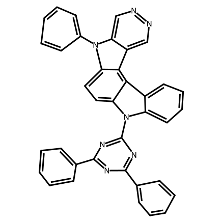 c1ccc(-c2nc(-c3ccccc3)nc(-n3c4ccccc4c4c5c6cnncc6n(-c6ccccc6)c5ccc43)n2)cc1